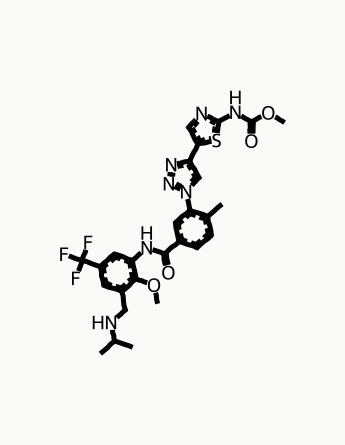 COC(=O)Nc1ncc(-c2cn(-c3cc(C(=O)Nc4cc(C(F)(F)F)cc(CNC(C)C)c4OC)ccc3C)nn2)s1